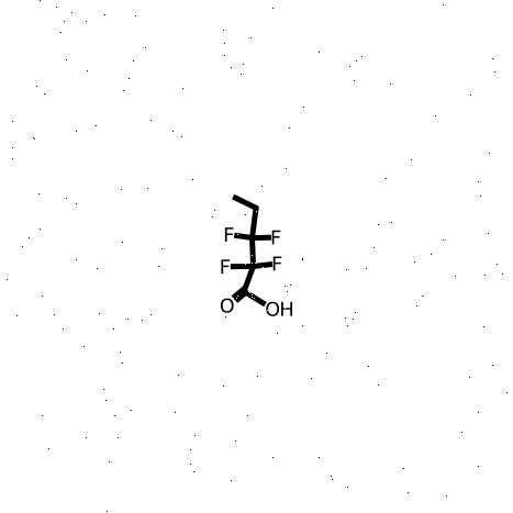 CCC(F)(F)C(F)(F)C(=O)O